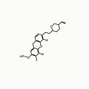 C=CC1CCC(CCc2ccc3c(c2F)Oc2c(cc(OCCC)c(F)c2F)C3)OC1